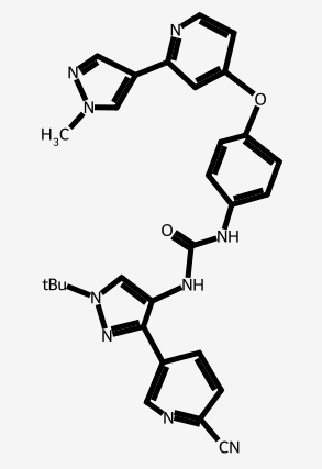 Cn1cc(-c2cc(Oc3ccc(NC(=O)Nc4cn(C(C)(C)C)nc4-c4ccc(C#N)nc4)cc3)ccn2)cn1